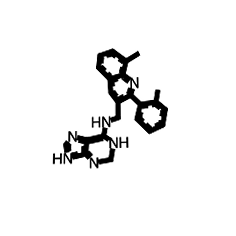 Cc1ccccc1-c1nc2c(C)cccc2cc1CNC1=c2nc[nH]c2=NCN1